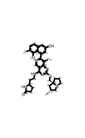 CCc1c(F)ccc2cc(O)cc(-c3ncc4c(NCCC5CCC(=O)N5)nc(OC[C@@]56CCCN5C[C@H](F)C6)nc4c3F)c12